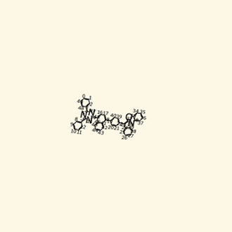 c1ccc(-c2nc(-c3ccccc3)nc(-c3ccc(-c4ccc(-c5c6ccccc6n6c5oc5ccccc56)cc4)c4ccccc34)n2)cc1